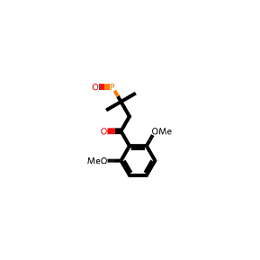 COc1cccc(OC)c1C(=O)CC(C)(C)P=O